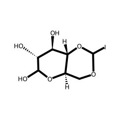 OC1O[C@@H]2COC(I)O[C@H]2[C@H](O)[C@H]1O